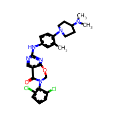 Cc1cc(Nc2ncc3c(n2)OCN(c2c(Cl)cccc2Cl)C3=O)ccc1N1CCC(N(C)C)CC1